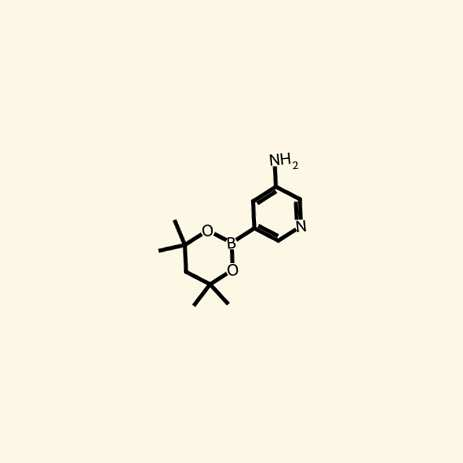 CC1(C)CC(C)(C)OB(c2cncc(N)c2)O1